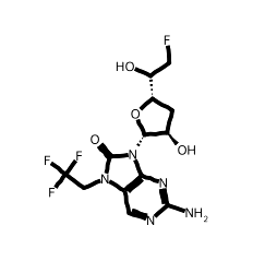 Nc1ncc2c(n1)n([C@@H]1O[C@H](C(O)CF)C[C@H]1O)c(=O)n2CC(F)(F)F